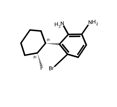 Nc1ccc(Br)c([C@H]2CCCC[C@H]2F)c1N